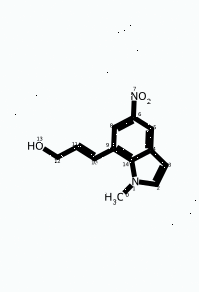 Cn1ccc2cc([N+](=O)[O-])cc(C=CCO)c21